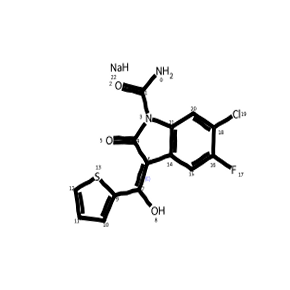 NC(=O)N1C(=O)/C(=C(/O)c2cccs2)c2cc(F)c(Cl)cc21.[NaH]